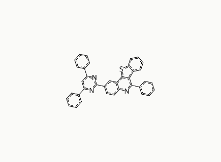 c1ccc(-c2cc(-c3ccccc3)nc(-c3ccc4nc(-c5ccccc5)c5c6ccccc6sc5c4c3)n2)cc1